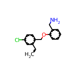 C=Cc1cc(Cl)ccc1COc1ccccc1CN